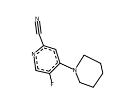 N#Cc1cc(N2CCCCC2)c(F)cn1